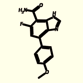 COc1ccc(-c2cc(F)c(C(N)=O)c3[nH]cnc23)cc1